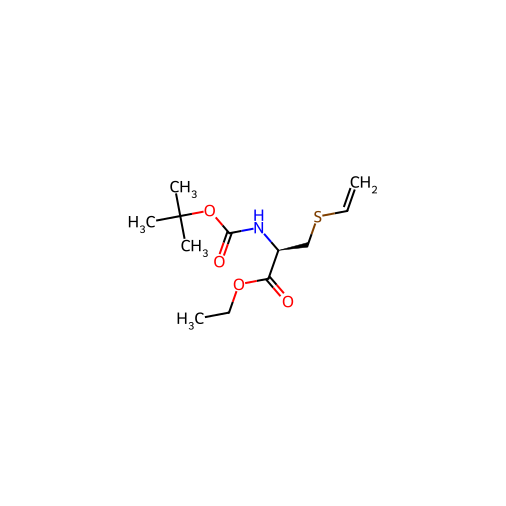 C=CSC[C@H](NC(=O)OC(C)(C)C)C(=O)OCC